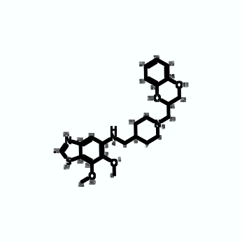 COc1c(NCC2CCN(CC3COc4ccccc4O3)CC2)cc2ncsc2c1OC